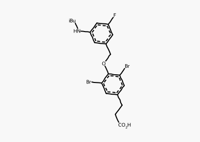 CCC(C)Nc1cc(F)cc(COc2c(Br)cc(CCC(=O)O)cc2Br)c1